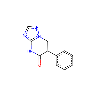 O=C1Nc2ncnn2CC1c1ccccc1